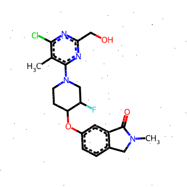 Cc1c(Cl)nc(CO)nc1N1CCC(Oc2ccc3c(c2)C(=O)N(C)C3)C(F)C1